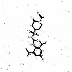 CC(=O)N1CCC(S(=O)(=O)NC(=O)Nc2c(C(C)C)cc(Cl)cc2C(C)C)CC1=O